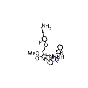 COC(=O)c1nc(N2CCCC(/C(C)=C(\N)Nc3nc4ccccc4s3)=C2N)sc1CCCOc1ccc(C#CCN)cc1F